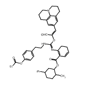 CCC(=O)Oc1ccc(CCN/C(=N/C2=C(C(=O)OC3CC(C(C)C)CCC3C)C=CCC2)O/C(C=O)=C/c2cc3c4c(c2)CCCN4CCC3)cc1